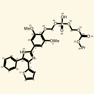 COc1cc(-c2nc(-c3cccs3)c(-c3ccccc3)[nH]2)cc(OC)c1OCOP(=O)(O)OCOC(=O)OC(C)C